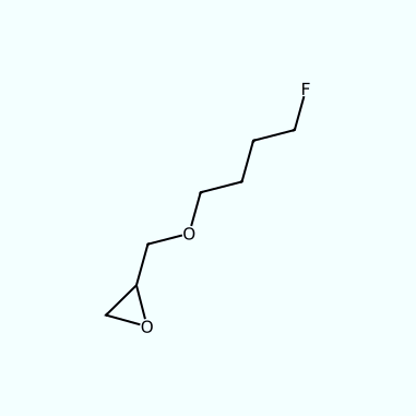 FCCCCOCC1CO1